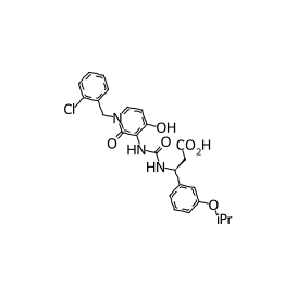 CC(C)Oc1cccc([C@H](CC(=O)O)NC(=O)Nc2c(O)ccn(Cc3ccccc3Cl)c2=O)c1